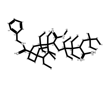 CCC(CC)C1(CC)CCC1(CC(CC)(CC)C(CC)(CC)C(CC(CC)(CC)C(CC)(CC)C(CC(C)(CC)CC)C(=O)O)C(=O)OC)C(=O)OCc1ccccc1